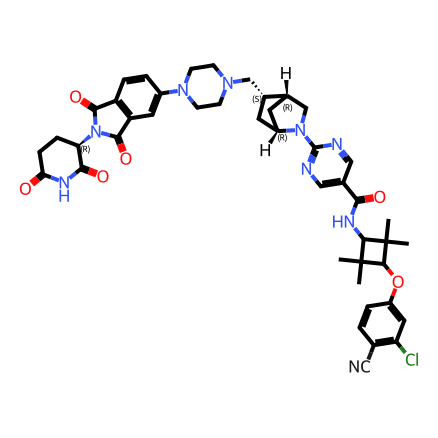 CC1(C)C(NC(=O)c2cnc(N3C[C@@H]4C[C@H]3C[C@@H]4CN3CCN(c4ccc5c(c4)C(=O)N([C@@H]4CCC(=O)NC4=O)C5=O)CC3)nc2)C(C)(C)C1Oc1ccc(C#N)c(Cl)c1